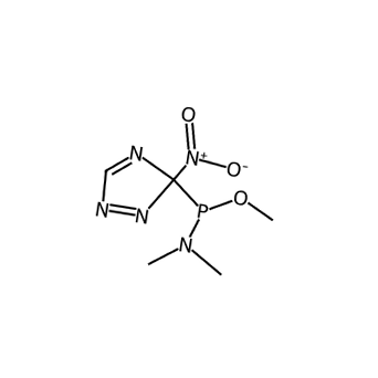 COP(N(C)C)C1([N+](=O)[O-])N=CN=N1